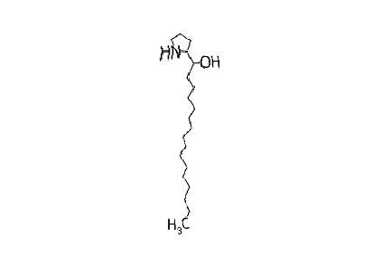 CCCCCCCCCCCCCCCC(O)C1CCCN1